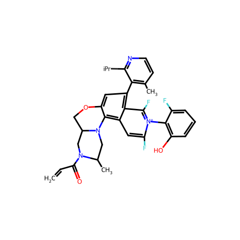 C=CC(=O)N1CC2COc3cc(-c4c(C)ccnc4C(C)C)c4c(F)[n+](-c5c(O)cccc5F)c(F)cc4c3N2CC1C